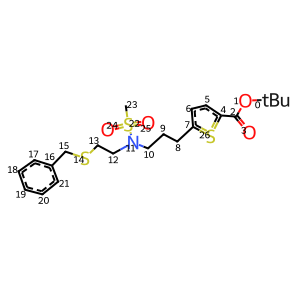 CC(C)(C)OC(=O)c1ccc(CCCN(CCSCc2ccccc2)S(C)(=O)=O)s1